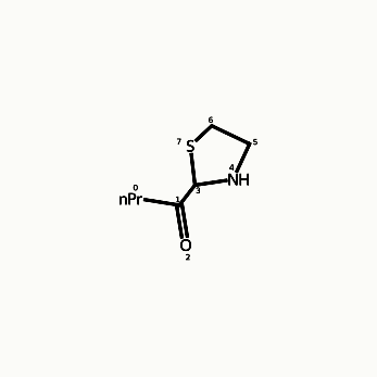 CCCC(=O)C1NCCS1